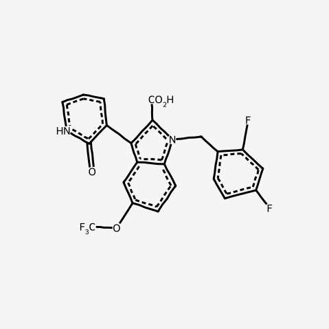 O=C(O)c1c(-c2ccc[nH]c2=O)c2cc(OC(F)(F)F)ccc2n1Cc1ccc(F)cc1F